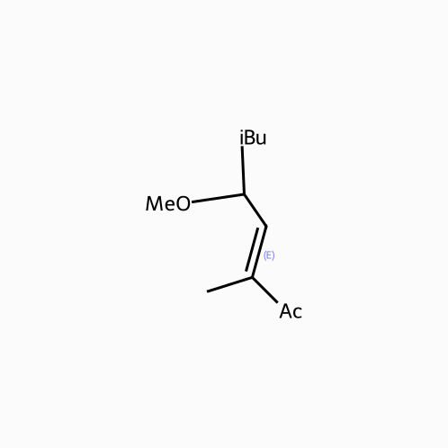 CCC(C)C(/C=C(\C)C(C)=O)OC